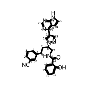 N#Cc1cccc(CCC(CNC(=O)c2ccccc2O)n2cc(-c3ncnc4[nH]ccc34)cn2)c1